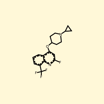 Fc1cc(OC2CCN(C3CC3)CC2)c2cccc(C(F)(F)F)c2n1